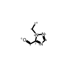 O=Cc1ncnn1CI